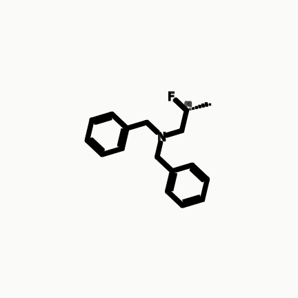 [CH2][C@@H](F)CN(Cc1ccccc1)Cc1ccccc1